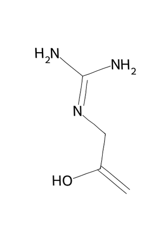 C=C(O)CN=C(N)N